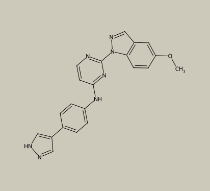 COc1ccc2c(cnn2-c2nccc(Nc3ccc(-c4cn[nH]c4)cc3)n2)c1